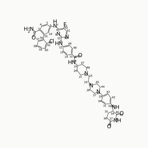 NC(=O)c1ccc(Nc2nc(Nc3ccc(C(=O)NC4CCN(CCN5CCN(c6ccc(NC7CCC(=O)NC7=O)cc6)CC5)CC4)cc3)ncc2F)cc1-c1ccccc1Cl